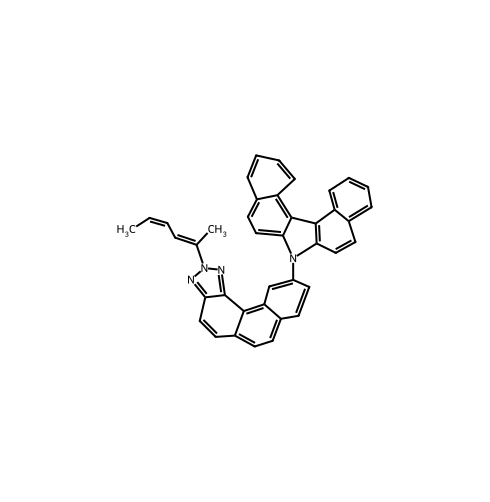 C/C=C\C=C(/C)n1nc2ccc3ccc4ccc(-n5c6ccc7ccccc7c6c6c7ccccc7ccc65)cc4c3c2n1